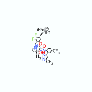 CC(C)[Si](C#Cc1ccc(CN2C(=O)C(C(=O)Nc3ccc(C(F)(F)F)cc3-c3cc(C(F)(F)F)ncn3)=C(O)[C@@]3(C)CCCN23)c(F)c1F)(C(C)C)C(C)C